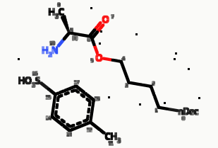 CCCCCCCCCCCCCCOC(=O)[C@H](C)N.Cc1ccc(S(=O)(=O)O)cc1